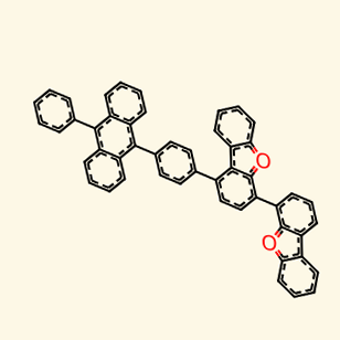 c1ccc(-c2c3ccccc3c(-c3ccc(-c4ccc(-c5cccc6c5oc5ccccc56)c5oc6ccccc6c45)cc3)c3ccccc23)cc1